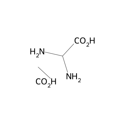 CC(=O)O.NC(N)C(=O)O